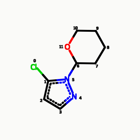 Clc1ccnn1C1CCCCO1